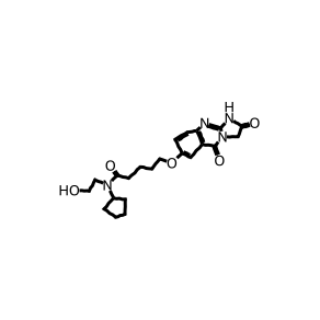 O=C1Cn2c(nc3ccc(OCCCCC(=O)N(CCO)C4CCCC4)cc3c2=O)N1